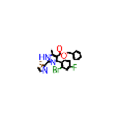 CC1=C(C(=O)OCc2ccccc2)C(c2ccc(F)cc2Br)N=C(c2nccs2)N1